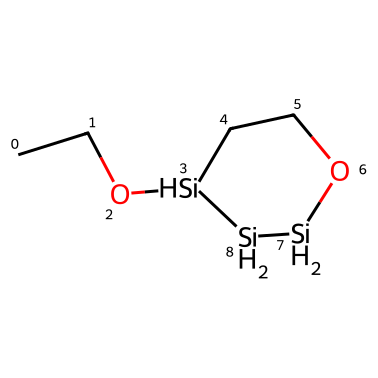 CCO[SiH]1CCO[SiH2][SiH2]1